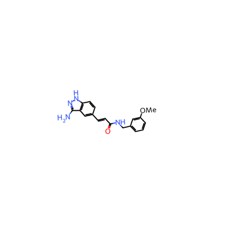 COc1cccc(CNC(=O)/C=C/c2ccc3[nH]nc(N)c3c2)c1